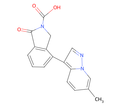 Cc1ccc2c(-c3cccc4c3CN(C(=O)O)C4=O)cnn2c1